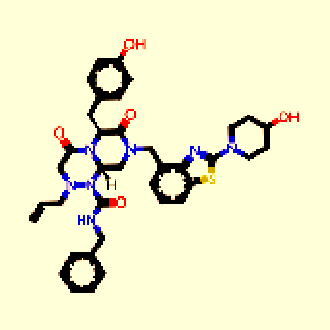 C=CCN1CC(=O)N2[C@@H](Cc3ccc(O)cc3)C(=O)N(Cc3cccc4sc(N5CCC(O)CC5)nc34)C[C@@H]2N1C(=O)NCc1ccccc1